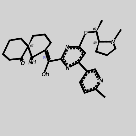 Cc1ccc(-c2cc(O[C@@H](C)[C@@H]3CCCN3C)nc(/C(O)=C3\CCC[C@@]4(CCCCC4=O)C3=N)n2)cn1